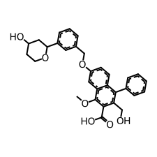 COc1c(C(=O)O)c(CO)c(-c2ccccc2)c2ccc(OCc3cccc(C4CC(O)CCO4)c3)cc12